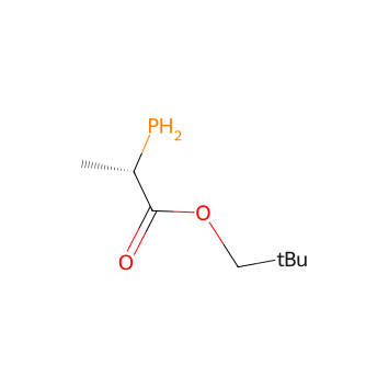 C[C@H](P)C(=O)OCC(C)(C)C